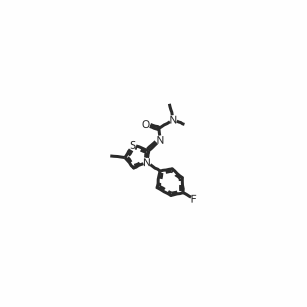 Cc1cn(-c2ccc(F)cc2)c(=NC(=O)N(C)C)s1